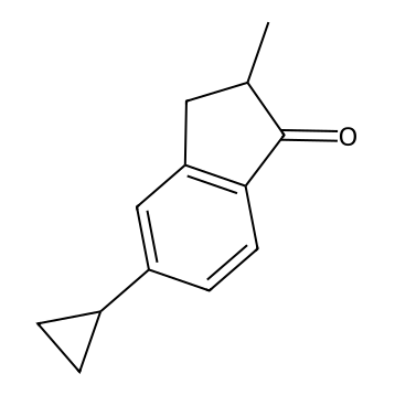 CC1Cc2cc(C3CC3)ccc2C1=O